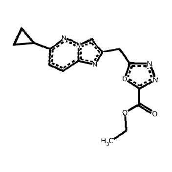 CCOC(=O)c1nnc(Cc2cn3nc(C4CC4)ccc3n2)o1